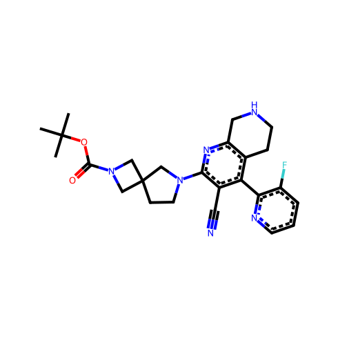 CC(C)(C)OC(=O)N1CC2(CCN(c3nc4c(c(-c5ncccc5F)c3C#N)CCNC4)C2)C1